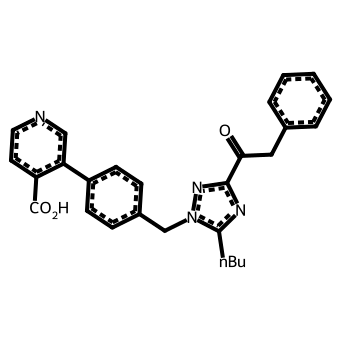 CCCCc1nc(C(=O)Cc2ccccc2)nn1Cc1ccc(-c2cnccc2C(=O)O)cc1